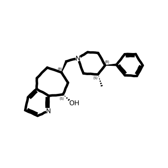 C[C@@H]1CN(C[C@@H]2CCc3cccnc3[C@@H](O)C2)CC[C@H]1c1ccccc1